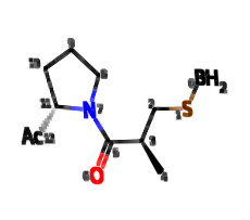 BSC[C@@H](C)C(=O)N1CCC[C@H]1C(C)=O